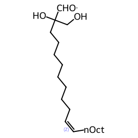 CCCCCCCC/C=C\CCCCCCCCC(O)([C]=O)CO